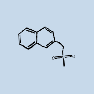 CS(=O)(=O)Cc1ccc2ccccc2c1